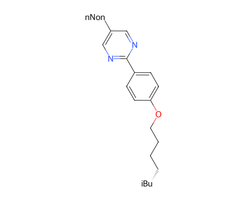 CCCCCCCCCc1cnc(-c2ccc(OCCCC[C@@H](C)CC)cc2)nc1